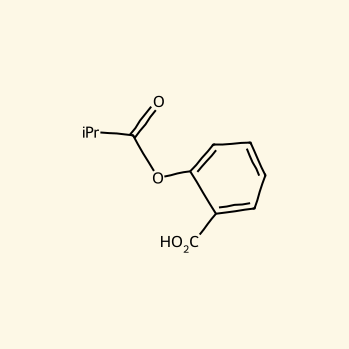 CC(C)C(=O)Oc1ccccc1C(=O)O